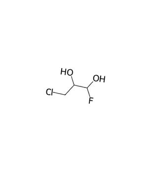 OC(F)C(O)CCl